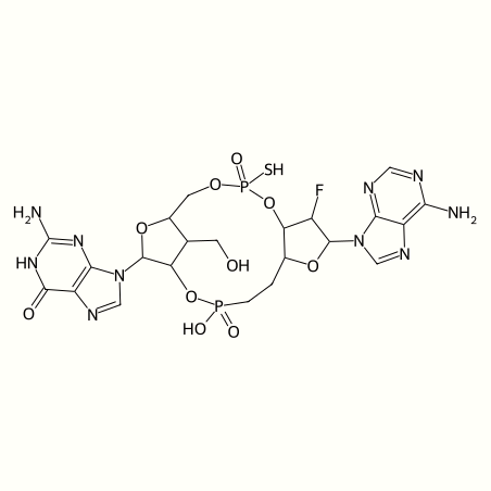 Nc1nc2c(ncn2C2OC3COP(=O)(S)OC4C(CCP(=O)(O)OC2C3CO)OC(n2cnc3c(N)ncnc32)C4F)c(=O)[nH]1